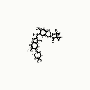 Cn1c(Nc2cc(CNC(=O)C3(C(F)(F)F)CC3)c(F)cc2Cl)nc2cc(Cl)c(N3CCC(C)(C)CC3)cc21